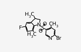 Cc1cc(Br)ncc1S(=O)(=O)N1CC(C)c2cc(F)cc(C)c21